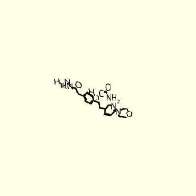 CC(N)=O.NNC(=O)Cc1ccc(CCc2ccc(N3CCOCC3)nc2)cc1